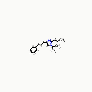 CCCc1nc(CCCc2ccccc2)cn1C(C)C